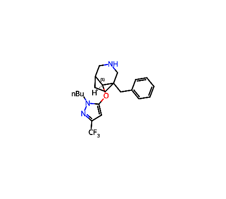 CCCCn1nc(C(F)(F)F)cc1O[C@H]1C2CCC1(Cc1ccccc1)CNC2